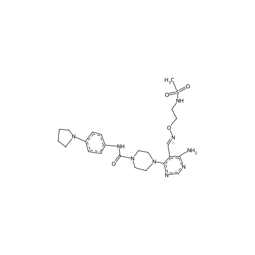 CS(=O)(=O)NCCO/N=C/c1c(N)ncnc1N1CCN(C(=O)Nc2ccc(N3CCCC3)cc2)CC1